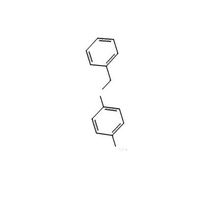 [CH2]Sc1ccc(OCc2ccccc2)cc1